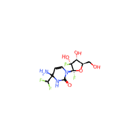 NC1(C(F)F)C=CN([C@]2(F)O[C@H](CO)[C@@H](O)[C@]2(O)F)C(=O)N1